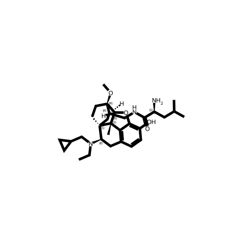 CCN(CC1CC1)[C@@H]1Cc2ccc(O)c3c2[C@@]2(C)[C@@H](O3)[C@@]3(OC)CC[C@@]12C[C@@H]3CNC(=O)[C@@H](N)CC(C)C